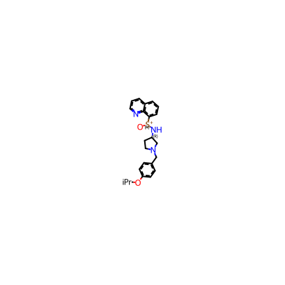 CC(C)Oc1ccc(CN2CC[C@@H](N[S@@+]([O-])c3cccc4cccnc34)C2)cc1